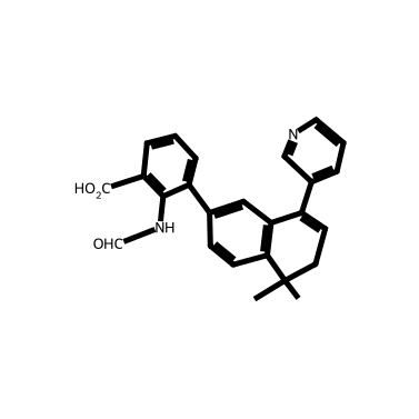 CC1(C)CC=C(c2cccnc2)c2cc(-c3cccc(C(=O)O)c3NC=O)ccc21